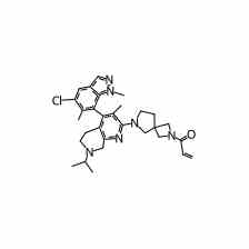 C=CC(=O)N1CC2(CCN(c3nc4c(c(-c5c(C)c(Cl)cc6cnn(C)c56)c3C)CCN(C(C)C)C4)C2)C1